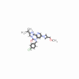 COCC1CN(c2cnc3c(c2)N(Cc2ccc(Cl)cc2)C(=O)N2CC(C(C)C)N=C32)C1